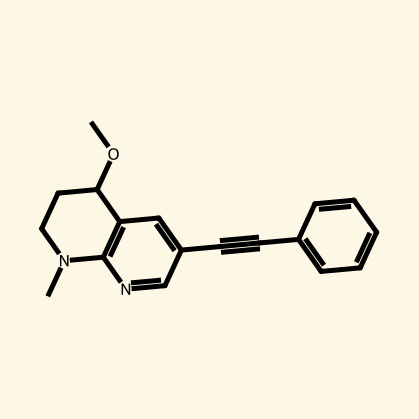 COC1CCN(C)c2ncc(C#Cc3ccccc3)cc21